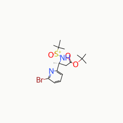 CC(C)(C)OC(=O)C[C@](C)(N[S@+]([O-])C(C)(C)C)c1cccc(Br)n1